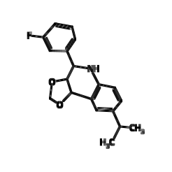 CC(C)c1ccc2c(c1)C1OCOC1C(c1cccc(F)c1)N2